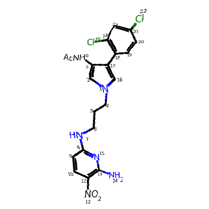 CC(=O)Nc1cn(CCCNc2ccc([N+](=O)[O-])c(N)n2)cc1-c1ccc(Cl)cc1Cl